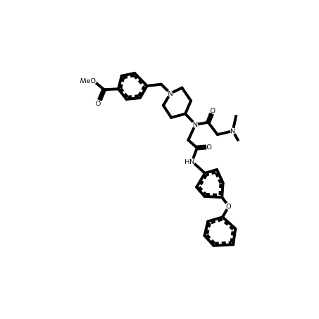 COC(=O)c1ccc(CN2CCC(N(CC(=O)Nc3ccc(Oc4ccccc4)cc3)C(=O)CN(C)C)CC2)cc1